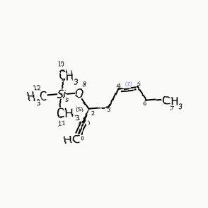 C#C[C@H](C/C=C\CC)O[Si](C)(C)C